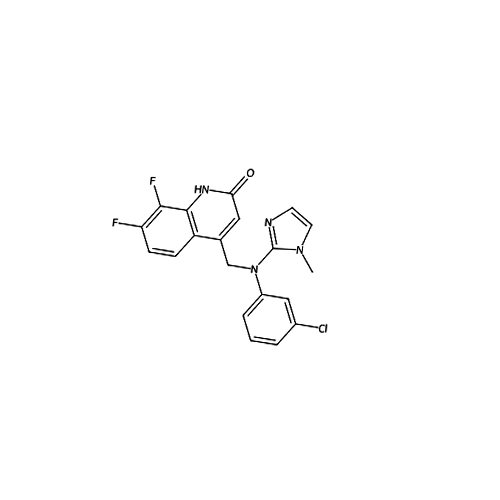 Cn1ccnc1N(Cc1cc(=O)[nH]c2c(F)c(F)ccc12)c1cccc(Cl)c1